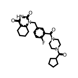 O=C(c1cc(Cn2c3c(c(=O)[nH]c2=O)CCCC3)ccc1F)N1CCN(C(=O)C2CCCC2)CC1